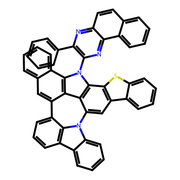 c1ccc(-c2nc3ccc4ccccc4c3nc2-n2c3c4ccccc4cc4c5cccc6c7ccccc7n(c7cc8c9ccccc9sc8c2c7c43)c56)cc1